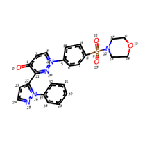 O=c1ccn(-c2ccc(S(=O)(=O)N3CCOCC3)cc2)nc1-c1ccnn1-c1ccccc1